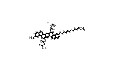 CCCCCCCCCCCCc1ccc2ccc3c(c2c1)CC(OC(=O)OC(C)=O)C1=CC2c4ccc5ccc(C)cc5c4CC(OC(=O)OC(C)=O)C2C=C13